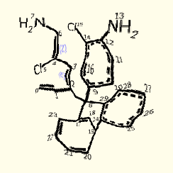 C=C/C(=C\C(Cl)=C\N)C1(c2ccc(N)c(Cl)c2)C2=CC(C=CC=C2)c2ccccc21